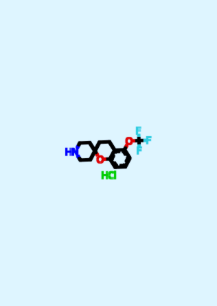 Cl.FC(F)(F)Oc1cccc2c1CCC1(CCNCC1)O2